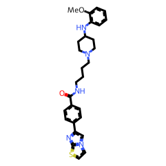 COc1ccccc1NC1CCN(CCCCNC(=O)c2ccc(-c3cn4ccsc4n3)cc2)CC1